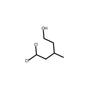 CC(CCO)CC(Cl)Cl